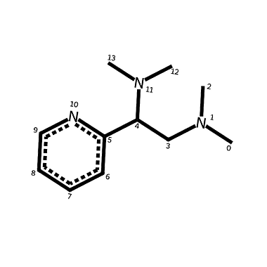 CN(C)CC(c1ccccn1)N(C)C